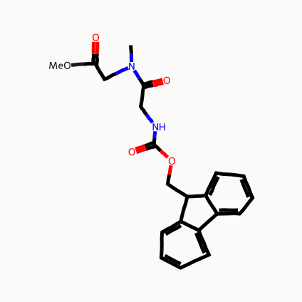 COC(=O)CN(C)C(=O)CNC(=O)OCC1c2ccccc2-c2ccccc21